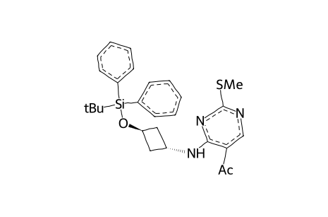 CSc1ncc(C(C)=O)c(N[C@H]2C[C@H](O[Si](c3ccccc3)(c3ccccc3)C(C)(C)C)C2)n1